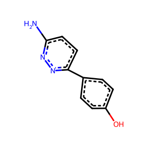 Nc1ccc(-c2ccc(O)cc2)nn1